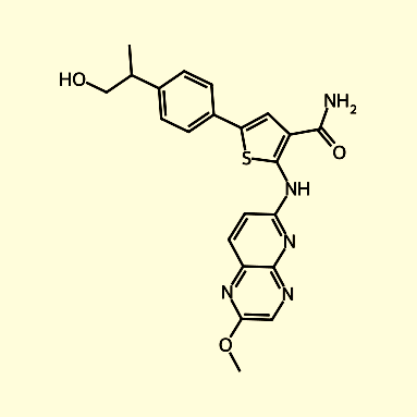 COc1cnc2nc(Nc3sc(-c4ccc(C(C)CO)cc4)cc3C(N)=O)ccc2n1